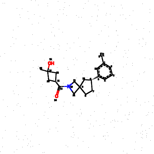 CCc1cccc([C@@H]2CCC3(C2)CN(C(=O)C2CC(C)(O)C2)C3)c1